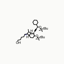 CC1/C(=C/CCCCO)[C@H]2CC[C@@H](O[Si](C)(C)C(C)(C)C)[C@H](C#CC(O[Si](C)(C)C(C)(C)C)C3CCCCC3)[C@@H]12